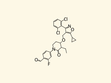 CCC1C(=O)N(c2ccc(C=O)c(F)c2)CCC1OCc1c(-c2c(Cl)cccc2Cl)noc1C1CC1